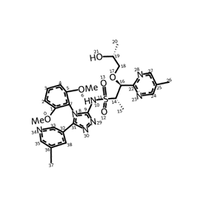 COc1cccc(OC)c1-n1c(NS(=O)(=O)[C@@H](C)[C@@H](OC[C@@H](C)O)c2ncc(C)cn2)nnc1-c1cncc(C)c1